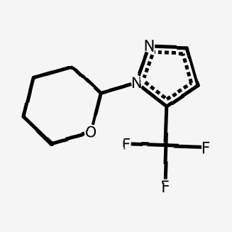 FC(F)(F)c1ccnn1C1CCCCO1